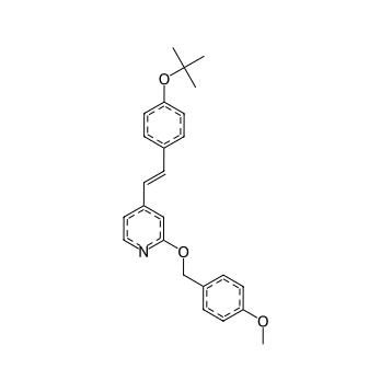 COc1ccc(COc2cc(C=Cc3ccc(OC(C)(C)C)cc3)ccn2)cc1